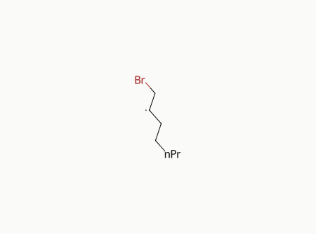 CCCCC[CH]CBr